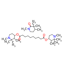 CC1C(OC(=O)CCCCCCCCC(=O)OC2CCN(C)C(C)(C)C2C)CCN(C)C1(C)C.CC1CCN(C)C(=O)C1(C)C